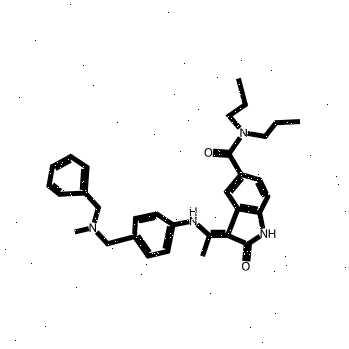 CCCN(CCC)C(=O)c1ccc2c(c1)C(=C(C)Nc1ccc(CN(C)Cc3ccccc3)cc1)C(=O)N2